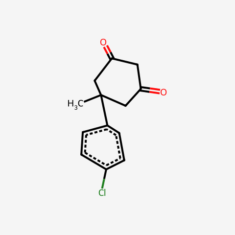 CC1(c2ccc(Cl)cc2)CC(=O)CC(=O)C1